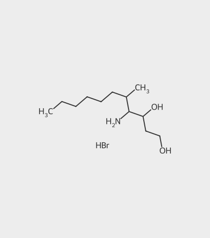 Br.CCCCCCC(C)C(N)C(O)CCO